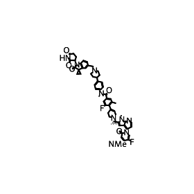 CNc1cc(=O)n(-c2ccnc3c2cc([C@H](C)N2CC=C(c4c(C)cc(C(=O)N(C)c5ccc(C6CCN(Cc7ccc8c(c7)C7(CC7)C(=O)N8C7CCC(=O)NC7=O)CC6)cc5)cc4F)CC2)n3C)cc1F